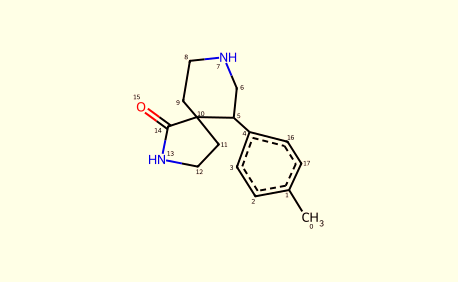 Cc1ccc(C2CNCCC23CCNC3=O)cc1